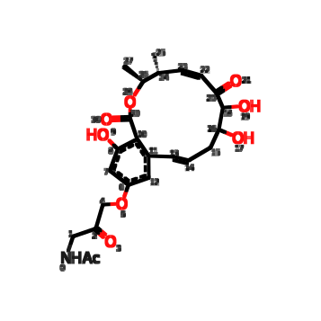 CC(=O)NCC(=O)COc1cc(O)c2c(c1)/C=C/CC(O)C(O)C(=O)/C=C\[C@@H](C)[C@H](C)OC2=O